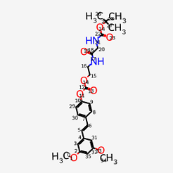 COc1cc(C=Cc2ccc(OC(=O)OCCNC(=O)CNC(=O)OC(C)(C)C)cc2)cc(OC)c1